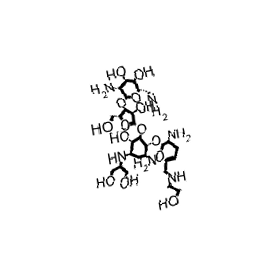 NC[C@@H]1O[C@H](O[C@H]2[C@@H](O)[C@H](O[C@@H]3[C@@H](O)[C@H](NC(CO)CO)C[C@H](N)[C@H]3O[C@H]3OC(CNCCO)=CC[C@H]3N)O[C@@H]2CO)[C@H](N)[C@@H](O)[C@@H]1O